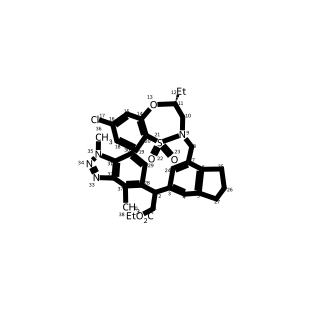 CCOC(=O)CC(c1cc2c(c(CN3C[C@@H](CC)Oc4cc(Cl)ccc4S3(=O)=O)c1)CCC2)c1ccc2c(nnn2C)c1C